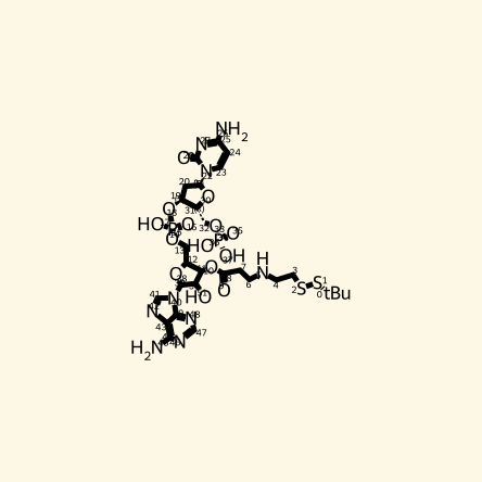 CC(C)(C)SSCCNCCC(=O)OC1C(COP(=O)(O)O[C@H]2C[C@H](n3ccc(N)nc3=O)O[C@@H]2COP(=O)(O)O)OC(n2cnc3c(N)ncnc32)C1O